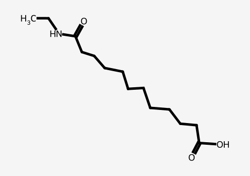 CCNC(=O)CCCCCCCCCCC(=O)O